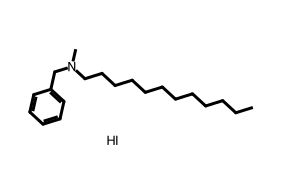 CCCCCCCCCCCCN(C)Cc1ccccc1.I